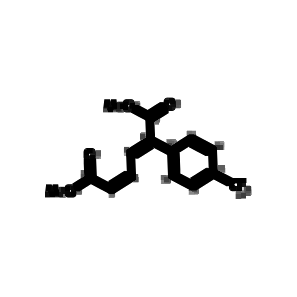 COC(=O)/C=C\C=C(\C(=O)OC)c1ccc(C(F)(F)F)cc1